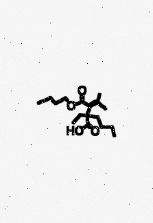 CCCCOC(=O)C(=C(C)C)C(CC)(CCCC)C(=O)O